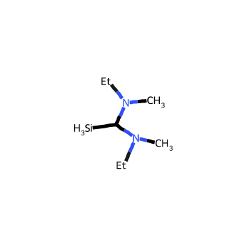 CCN(C)C([SiH3])N(C)CC